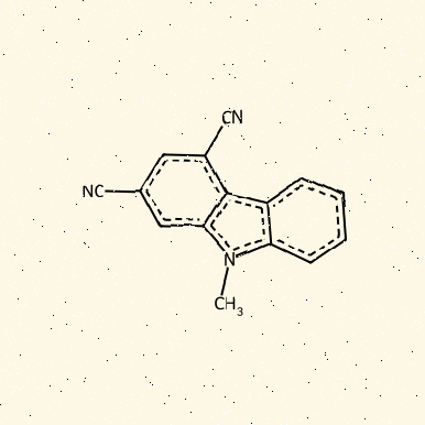 Cn1c2ccccc2c2c(C#N)cc(C#N)cc21